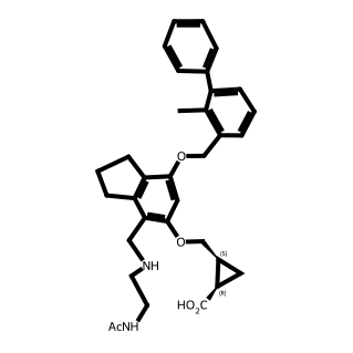 CC(=O)NCCNCc1c(OC[C@H]2C[C@H]2C(=O)O)cc(OCc2cccc(-c3ccccc3)c2C)c2c1CCC2